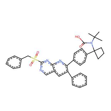 CC(C)(C)N(C(=O)O)C1(c2ccc(-c3nc4nc(S(=O)(=O)Cc5ccccc5)ncc4cc3-c3ccccc3)cc2)CCC1